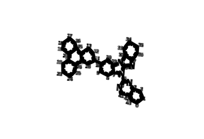 c1ccc2nc(-n3c4ccc(-c5ccc6c7ccccc7c7ccccc7c6c5)cc4n4c5ccccc5nc34)ncc2c1